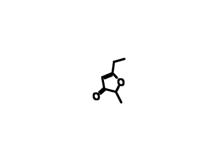 CCC1=CC(=O)C(C)O1